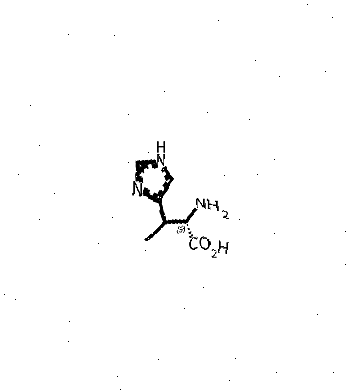 CC(c1c[nH]cn1)[C@H](N)C(=O)O